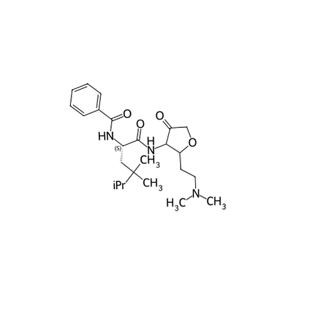 CC(C)C(C)(C)C[C@H](NC(=O)c1ccccc1)C(=O)NC1C(=O)COC1CCN(C)C